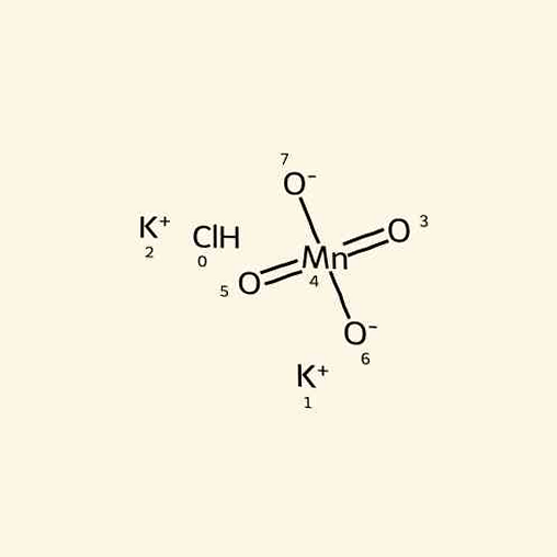 Cl.[K+].[K+].[O]=[Mn](=[O])([O-])[O-]